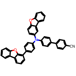 N#Cc1ccc(-c2ccc(N(c3ccc(-c4cccc5c4oc4ccccc45)cc3)c3ccc4oc5ccccc5c4c3)cc2)cc1